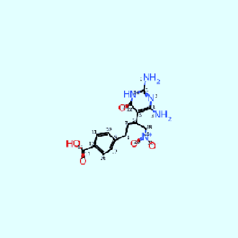 Nc1nc(N)c(C(CCc2ccc(C(=O)O)cc2)C[N+](=O)[O-])c(=O)[nH]1